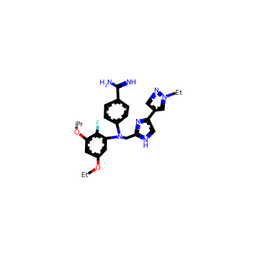 CCOc1cc(OC(C)C)c(F)c(N(Cc2nc(-c3cnn(CC)c3)c[nH]2)c2ccc(C(=N)N)cc2)c1